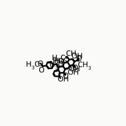 COC(=O)c1ccc(/C=C2\c3cccc(O)c3C(=O)C3=C(O)[C@@]4(O)C(=O)C(C(C)=O)=C(O)C(C(C)C)[C@@]4(C)[C@H](O)[C@]32C)cc1